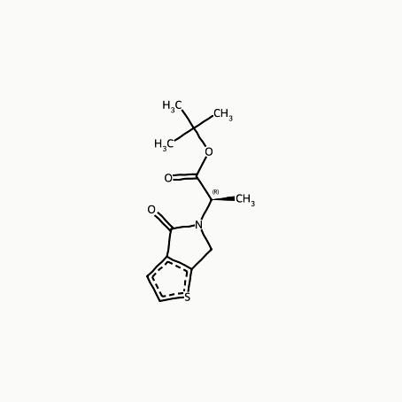 C[C@H](C(=O)OC(C)(C)C)N1Cc2sccc2C1=O